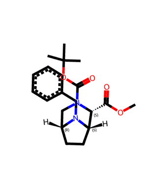 COC(=O)[C@@H]1[C@@H]2CC[C@H](CN1C(=O)OC(C)(C)C)N2Cc1ccccc1